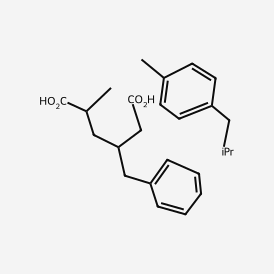 CC(CC(CC(=O)O)Cc1ccccc1)C(=O)O.Cc1ccc(CC(C)C)cc1